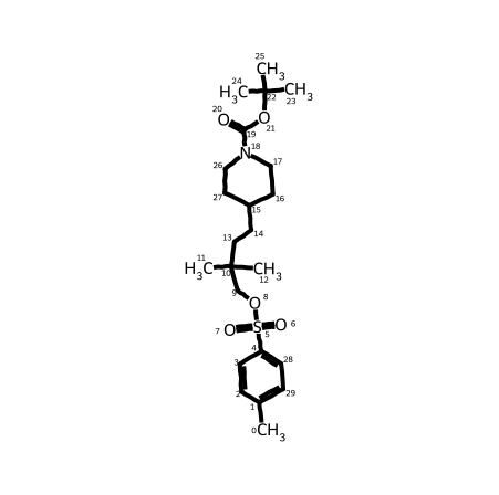 Cc1ccc(S(=O)(=O)OCC(C)(C)CCC2CCN(C(=O)OC(C)(C)C)CC2)cc1